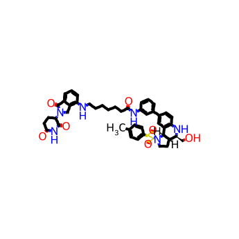 Cc1ccc(S(=O)(=O)N2CC[C@@H]3[C@H](CO)Nc4ccc(-c5cccc(NC(=O)CCCCCCNc6cccc7c6CN(C6CCC(=O)NC6=O)C7=O)c5)cc4[C@@H]32)cc1